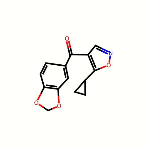 O=C(c1ccc2c(c1)OCO2)c1cnoc1C1CC1